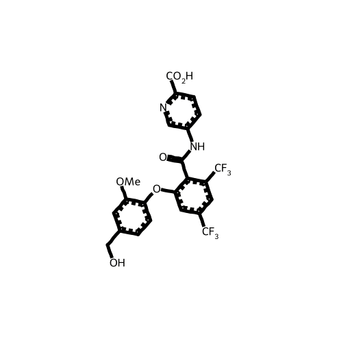 COc1cc(CO)ccc1Oc1cc(C(F)(F)F)cc(C(F)(F)F)c1C(=O)Nc1ccc(C(=O)O)nc1